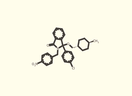 C[C@H]1CC[C@H](COC2(c3ccc(Cl)cc3)c3ccccc3C(=O)N2Cc2ccc([N+](=O)[O-])cc2)CC1